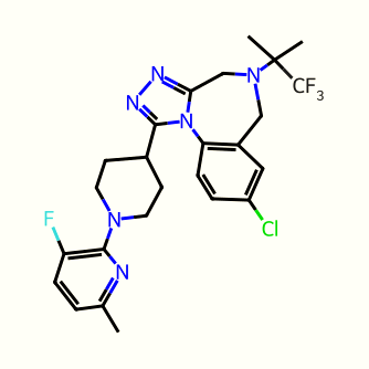 Cc1ccc(F)c(N2CCC(c3nnc4n3-c3ccc(Cl)cc3CN(C(C)(C)C(F)(F)F)C4)CC2)n1